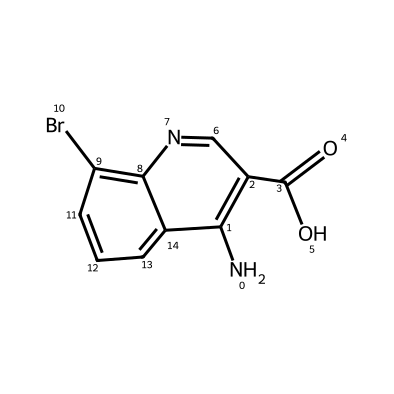 Nc1c(C(=O)O)cnc2c(Br)cccc12